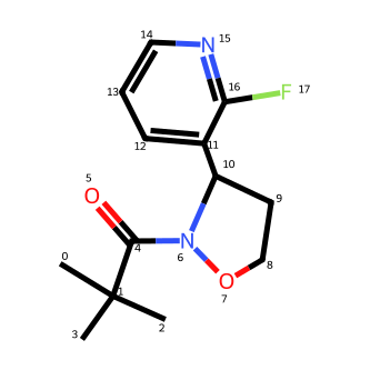 CC(C)(C)C(=O)N1OCCC1c1cccnc1F